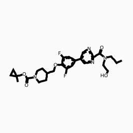 CCCN(CCO)C(=O)c1ncc(-c2cc(F)c(OCC3CCN(C(=O)OC4(C)CC4)CC3)c(F)c2)cn1